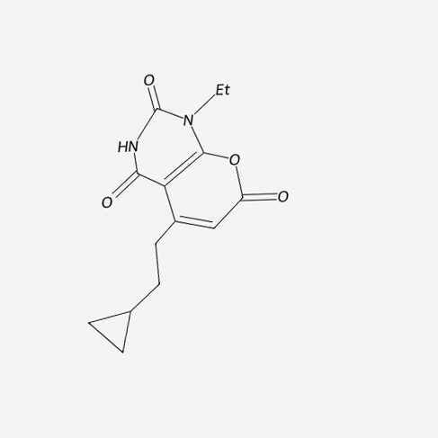 CCn1c(=O)[nH]c(=O)c2c(CCC3CC3)cc(=O)oc21